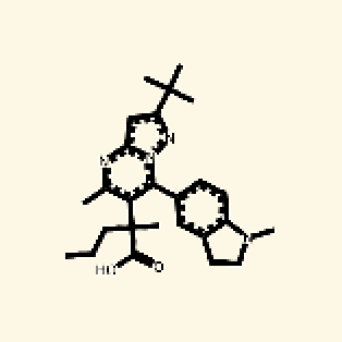 CCCC(C)(C(=O)O)c1c(C)nc2cc(C(C)(C)C)nn2c1-c1ccc2c(c1)CCN2C